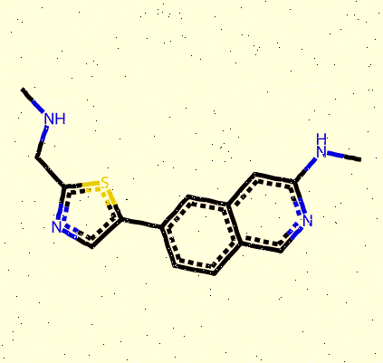 CNCc1ncc(-c2ccc3cnc(NC)cc3c2)s1